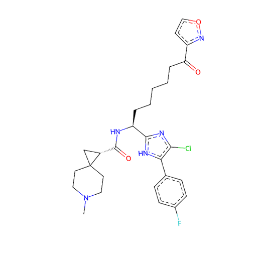 CN1CCC2(CC1)C[C@@H]2C(=O)N[C@@H](CCCCCC(=O)c1ccon1)c1nc(Cl)c(-c2ccc(F)cc2)[nH]1